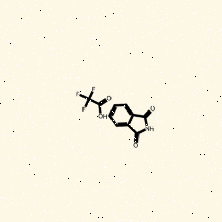 O=C(O)C(F)(F)F.O=C1NC(=O)c2ccccc21